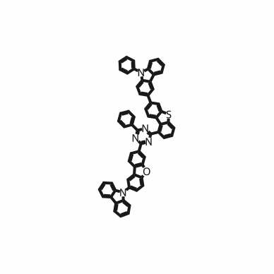 c1ccc(-c2nc(-c3ccc4c(c3)oc3ccc(-n5c6ccccc6c6ccccc65)cc34)nc(-c3cccc4sc5cc(-c6ccc7c(c6)c6ccccc6n7-c6ccccc6)ccc5c34)n2)cc1